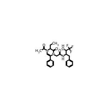 CCC1C(=O)N(CC(=O)NC(Cc2ccccc2)C(O)C(F)(F)F)C(c2ccccc2)=CN1C(C)=O